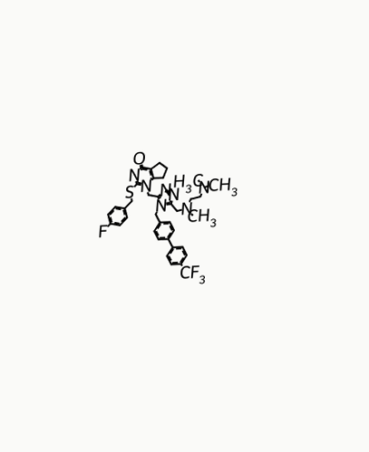 CN(C)CCN(C)Cc1nnc(Cn2c(SCc3ccc(F)cc3)nc(=O)c3c2CCC3)n1Cc1ccc(-c2ccc(C(F)(F)F)cc2)cc1